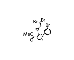 COC(=O)c1cnn(-c2cccc(Br)c2)c1[C@@H]1C[C@H]1C=C(Br)Br